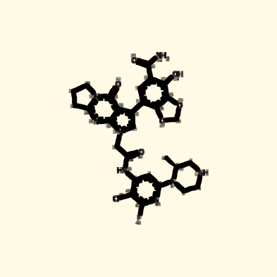 C[C@H]1CNCCN1c1cc(NC(=O)Cn2cc(-c3cc(C(N)=O)c(O)c4c3OCO4)c3c(=O)n4c(nc32)CCC4)c(Cl)c(F)n1